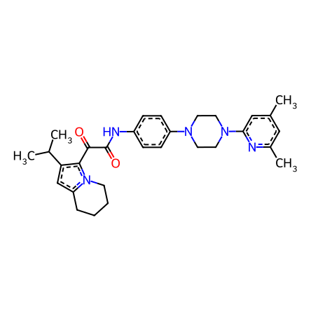 Cc1cc(C)nc(N2CCN(c3ccc(NC(=O)C(=O)c4c(C(C)C)cc5n4CCCC5)cc3)CC2)c1